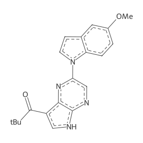 COc1ccc2c(ccn2-c2cnc3[nH]cc(C(=O)C(C)(C)C)c3n2)c1